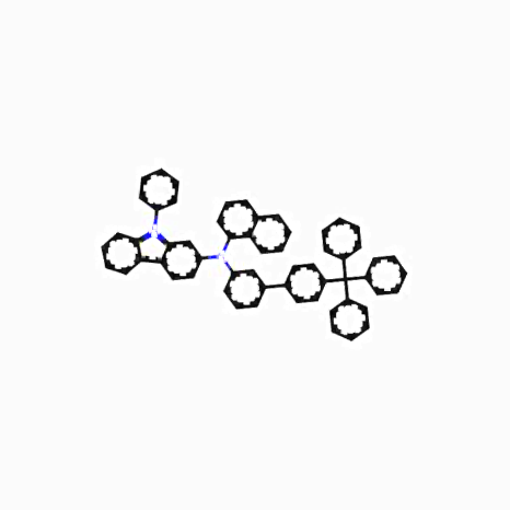 c1ccc(-n2c3ccccc3c3ccc(N(c4cccc(-c5ccc(C(c6ccccc6)(c6ccccc6)c6ccccc6)cc5)c4)c4cccc5ccccc45)cc32)cc1